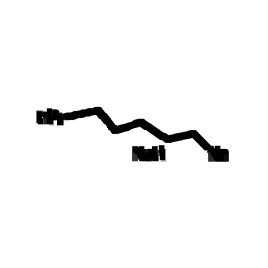 CCCCCCC[CH2][Na].[NaH]